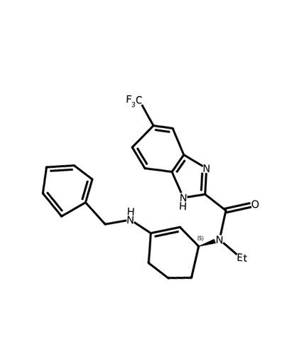 CCN(C(=O)c1nc2cc(C(F)(F)F)ccc2[nH]1)[C@@H]1C=C(NCc2ccccc2)CCC1